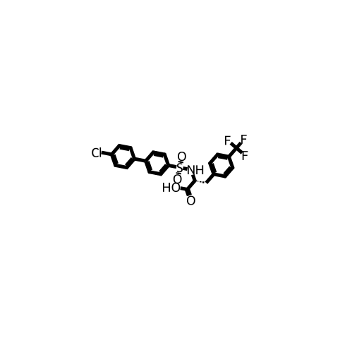 O=C(O)[C@@H](Cc1ccc(C(F)(F)F)cc1)NS(=O)(=O)c1ccc(-c2ccc(Cl)cc2)cc1